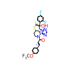 C[C@@H](SC1CCN(C(=O)/C=C/c2ccc(OC(F)(F)F)cc2)CC1)[C@](O)(Cn1cncn1)c1ccc(F)cc1F